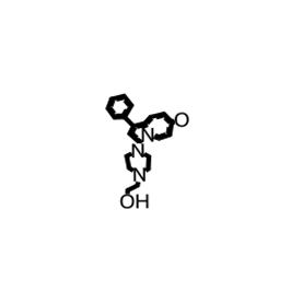 O=c1ccc2c(-c3ccccc3)cc(N3CCN(CCO)CC3)n2cc1